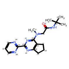 CN(CC(=O)NC(C)(C)C)c1nc(-c2ncccn2)nc2c1CCC2